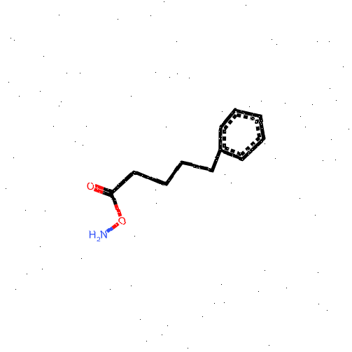 NOC(=O)CCCCc1ccccc1